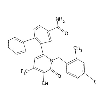 Cc1ccc(Cn2c(-c3cc(C(N)=O)ccc3-c3ccccc3)cc(C(F)(F)F)c(C#N)c2=O)c(C)c1